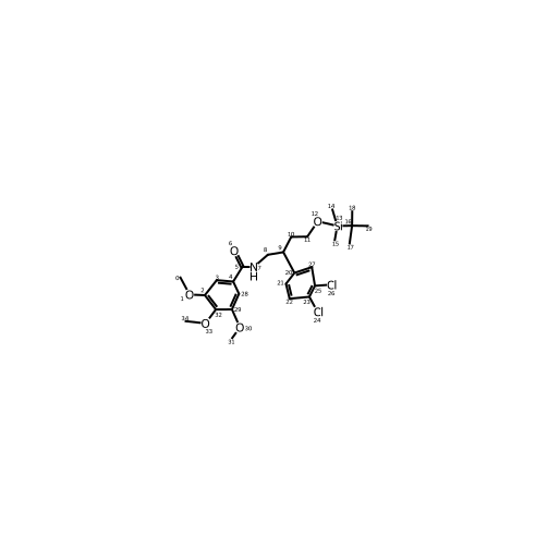 COc1cc(C(=O)NCC(CCO[Si](C)(C)C(C)(C)C)c2ccc(Cl)c(Cl)c2)cc(OC)c1OC